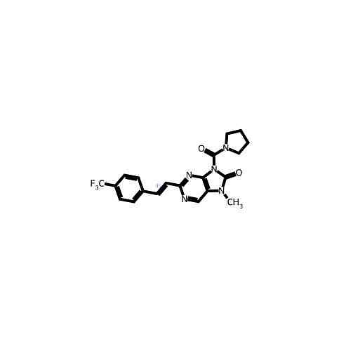 Cn1c(=O)n(C(=O)N2CCCC2)c2nc(/C=C/c3ccc(C(F)(F)F)cc3)ncc21